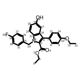 CCOC(=O)c1c(-c2ccc(OCC)cc2)c2cc(O)ccc2n1Cc1ccc(F)cc1